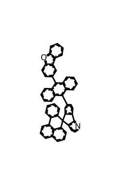 c1ccc2c(c1)-c1cccc3cccc(c13)C21c2cc(-c3c4ccccc4c(-c4ccc5oc6ccccc6c5c4)c4ccccc34)ccc2-c2ncccc21